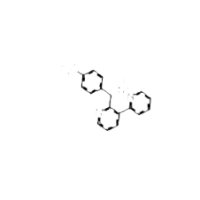 N[C@@H](c1ccc(C(F)(F)F)cc1)c1ncccc1-c1ccccn1